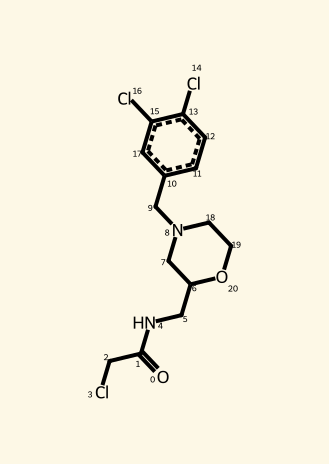 O=C(CCl)NCC1CN(Cc2ccc(Cl)c(Cl)c2)CCO1